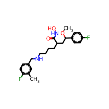 COC(CC(CCCCNCc1ccc(F)c(C)c1)C(=O)NO)c1ccc(F)cc1